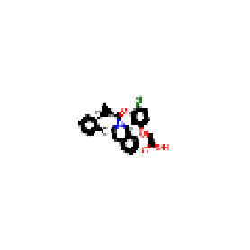 Cc1ccccc1[C@@H]1C[C@H]1C(=O)N1CCc2ccccc2[C@H]1c1cc(Cl)ccc1OCC(=O)O